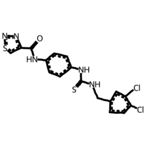 O=C(Nc1ccc(NC(=S)NCc2ccc(Cl)c(Cl)c2)cc1)c1csnn1